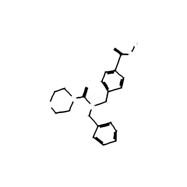 NNC(=O)c1ccc(CN(Cc2ccccc2)C(=O)N2CCOCC2)cc1